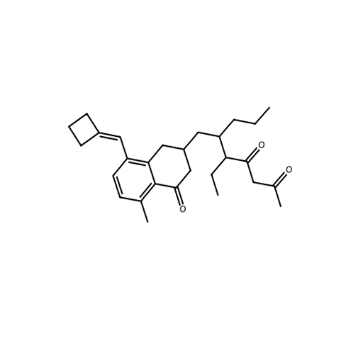 CCCC(CC1CC(=O)c2c(C)ccc(C=C3CCC3)c2C1)C(CC)C(=O)CC(C)=O